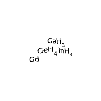 [GaH3].[Gd].[GeH4].[InH3]